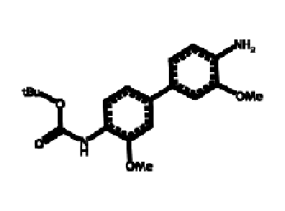 COc1cc(-c2ccc(NC(=O)OC(C)(C)C)c(OC)c2)ccc1N